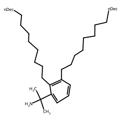 CCCCCCCCCCCCCCCCCCc1cccc(C(C)(C)N)c1CCCCCCCCCCCCCCCCCC